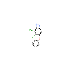 Nc1ccc(Oc2ccccc2)c(Cl)c1Cl